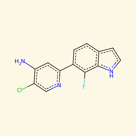 Nc1cc(-c2ccc3cc[nH]c3c2F)ncc1Cl